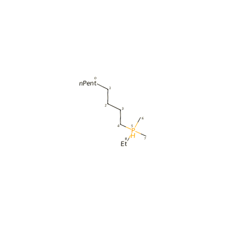 CCCCCCCCC[PH](C)(C)CC